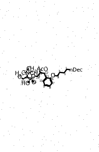 CCCCCCCCCCCCCCOc1ccccc1CC(COP(=O)(O)C(C[O-])[N+](C)(C)C)OC(C)=O